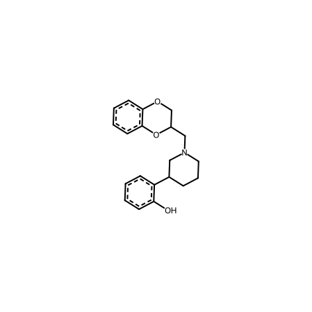 Oc1ccccc1C1CCCN(CC2COc3ccccc3O2)C1